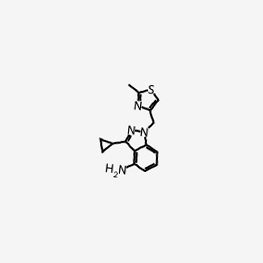 Cc1nc(Cn2nc(C3CC3)c3c(N)cccc32)cs1